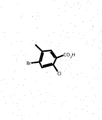 Cc1cc(C(=O)O)c(Cl)cc1Br